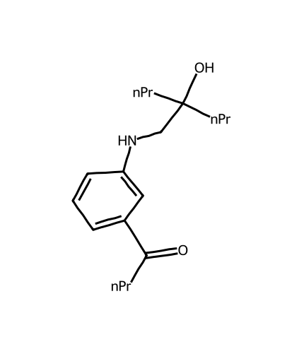 CCCC(=O)c1cccc(NCC(O)(CCC)CCC)c1